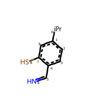 CC(C)c1ccc(C=N)c(S)c1